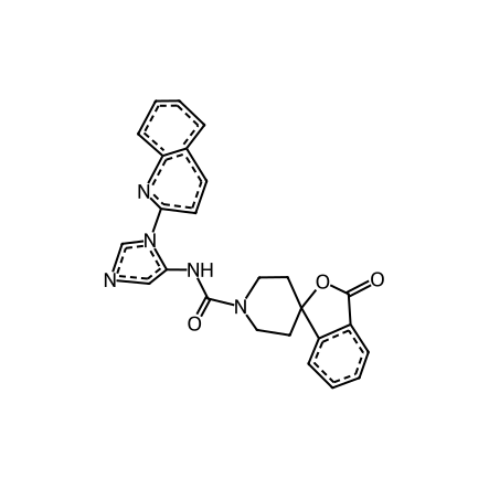 O=C1OC2(CCN(C(=O)Nc3cncn3-c3ccc4ccccc4n3)CC2)c2ccccc21